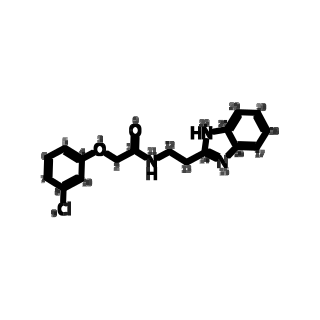 O=C(COc1cccc(Cl)c1)NCCc1nc2ccccc2[nH]1